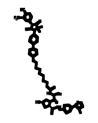 Cc1ncsc1-c1ccc(CNC(=O)[C@@H]2C[C@@H](O)CN2C(=O)C(NC(=O)CCOCCCCCOc2ccc(-c3ccc(N4C(=S)N(c5ccc(C#N)c(C(F)(F)F)c5)C(=O)C4(C)C)cc3)cc2)C(C)(C)C)cc1